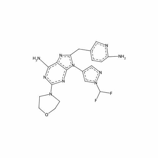 Nc1ccc(Cc2nc3c(N)nc(N4CCOCC4)nc3n2-c2cnn(C(F)F)c2)cn1